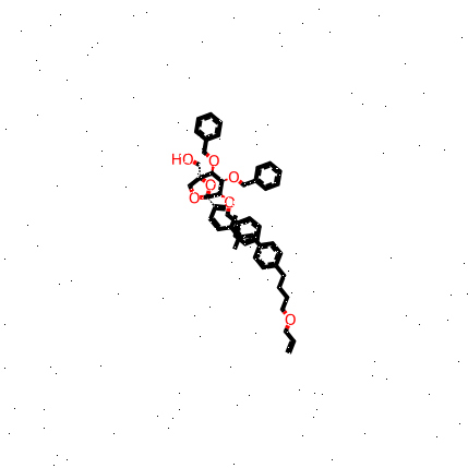 C=CCOCCCCc1ccc(C/C(C)=C(C)/C=C\C(=C)[C@]23OC[C@](CO)(O2)[C@@H](OCc2ccccc2)[C@H](OCc2ccccc2)[C@H]3OCc2ccccc2)cc1